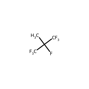 CC(F)(C(F)(F)F)C(F)(F)F